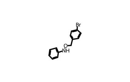 Brc1ccc(CONc2ccccc2)cc1